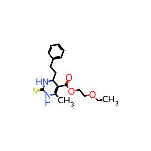 CCOCCOC(=O)C1=C(C)NC(=S)NC1CCc1ccccc1